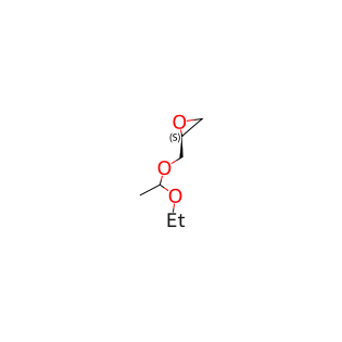 CCOC(C)OC[C@@H]1CO1